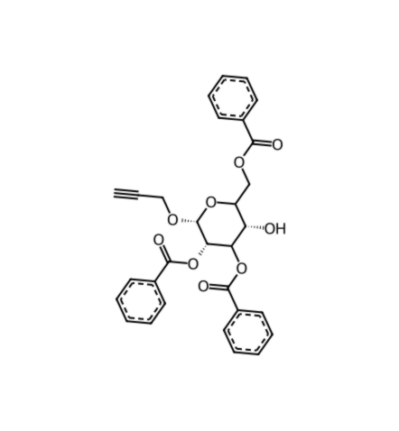 C#CCO[C@@H]1OC(COC(=O)c2ccccc2)[C@H](O)C(OC(=O)c2ccccc2)[C@@H]1OC(=O)c1ccccc1